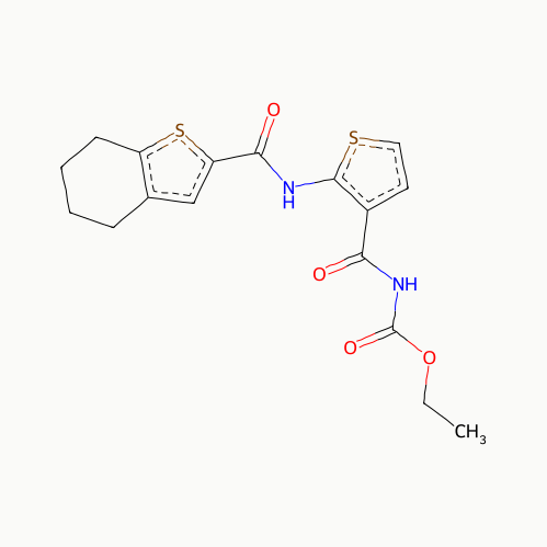 CCOC(=O)NC(=O)c1ccsc1NC(=O)c1cc2c(s1)CCCC2